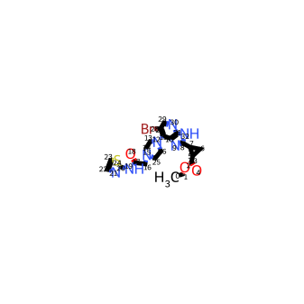 CCOC(=O)C1CC1c1nc2c(N3CCN(CC(=O)Nc4nccs4)CC3)c(Br)cnc2[nH]1